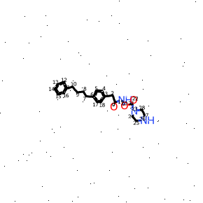 O=C(Cc1ccc(CCCCc2ccccc2)cc1)NOC(=O)N1CCNCC1